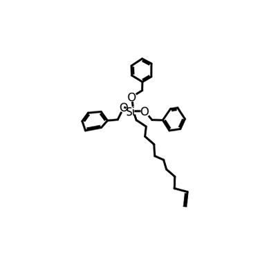 C=CCCCCCCCCC[Si](OCc1ccccc1)(OCc1ccccc1)OCc1ccccc1